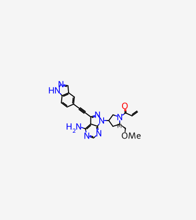 C=CC(=O)N1CC(n2nc(C#Cc3ccc4[nH]ncc4c3)c3c(N)ncnc32)C[C@@H]1COC